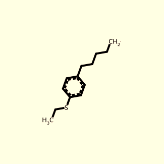 [CH2]CCCCc1ccc(SCC)cc1